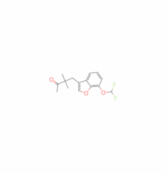 CC(=O)C(C)(C)Cc1coc2c(OC(F)F)cccc12